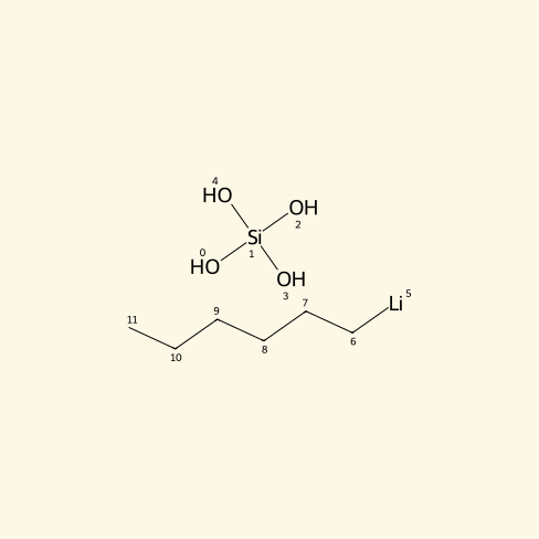 O[Si](O)(O)O.[Li][CH2]CCCCC